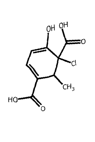 CC1C(C(=O)O)=CC=C(O)C1(Cl)C(=O)O